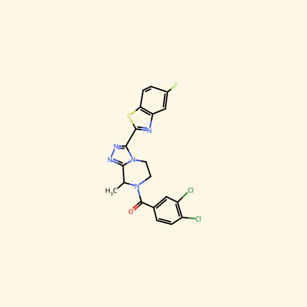 CC1c2nnc(-c3nc4cc(F)ccc4s3)n2CCN1C(=O)c1ccc(Cl)c(Cl)c1